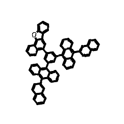 c1ccc2cc(-c3c4ccccc4c(-c4cc(-c5c6ccccc6c(-c6ccc7ccccc7c6)c6ccccc56)cc(-c5cc6c7ccccc7oc6c6ccccc56)c4)c4ccccc34)ccc2c1